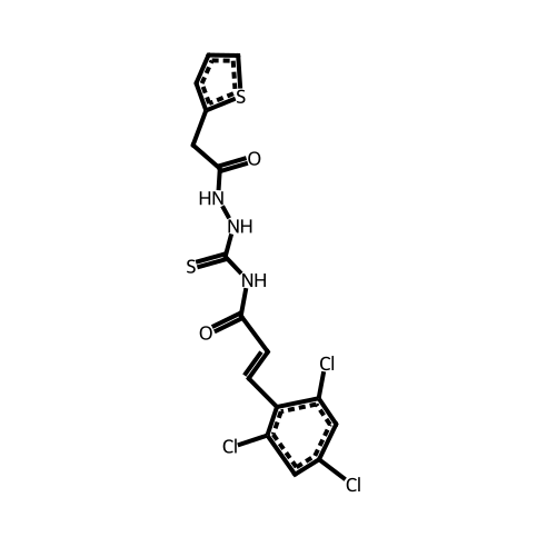 O=C(C=Cc1c(Cl)cc(Cl)cc1Cl)NC(=S)NNC(=O)Cc1cccs1